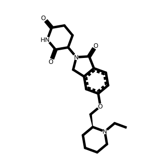 CCN1CCCC[C@H]1COc1ccc2c(c1)CN(C1CCC(=O)NC1=O)C2=O